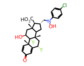 C[C@]12C[C@H](O)[C@]3(F)[C@@]4(C)C=CC(=O)C=C4[C@@H](F)C[C@@]3(C)C1C[C@@H](CN(O)c1ccc(Cl)cc1)[C@@H]2C(=O)O